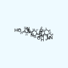 COc1ccc2cnn(C)c2c1NS(=O)(=O)c1ccc(-n2cc(CO)cn2)nc1